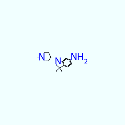 CN1CCC(CN2CC(C)(C)c3ccc(N)cc32)CC1